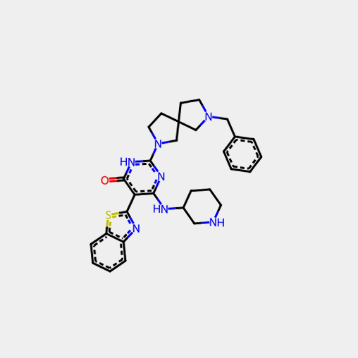 O=c1[nH]c(N2CCC3(CCN(Cc4ccccc4)C3)C2)nc(NC2CCCNC2)c1-c1nc2ccccc2s1